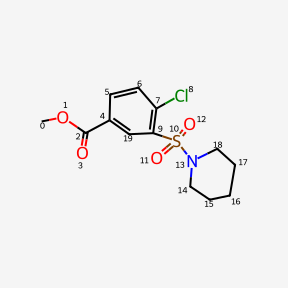 COC(=O)c1ccc(Cl)c(S(=O)(=O)N2CCCCC2)c1